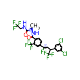 CN(NC(=O)c1ccc(/C(F)=C/C(c2cc(Cl)cc(Cl)c2)C(F)(F)F)cc1C(F)(F)F)C(=O)NCC(F)(F)F